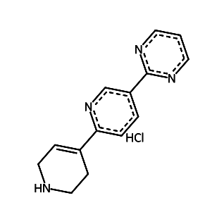 C1=C(c2ccc(-c3ncccn3)cn2)CCNC1.Cl